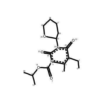 CCc1c(C)n(C(=O)OC(C)C)c(=O)n(C2CCCCO2)c1=O